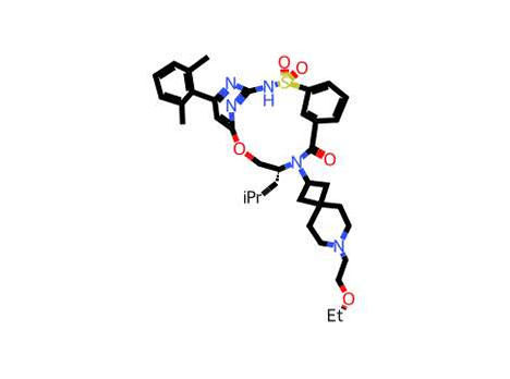 CCOCCN1CCC2(CC1)CC(N1C(=O)c3cccc(c3)S(=O)(=O)Nc3nc(cc(-c4c(C)cccc4C)n3)OC[C@H]1CC(C)C)C2